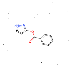 O=C(Oc1cc[nH]n1)c1ccccc1